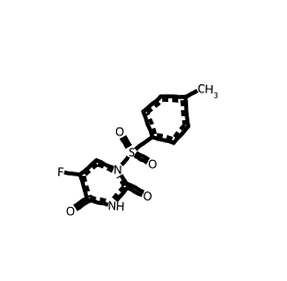 Cc1ccc(S(=O)(=O)n2cc(F)c(=O)[nH]c2=O)cc1